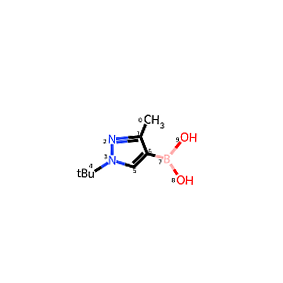 Cc1nn(C(C)(C)C)cc1B(O)O